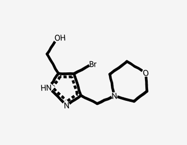 OCc1[nH]nc(CN2CCOCC2)c1Br